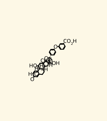 C[C@]12C=CC(=O)C=C1CC[C@@H]1[C@@H]2[C@@H](O)C[C@@]2(C)[C@H]1C[C@H]1O[C@@H](c3ccc(Oc4cccc(C(=O)O)c4)cc3)O[C@]12C(=O)CO